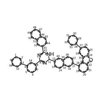 c1ccc(-c2cccc(C3=NC(c4ccc5cc(-c6cccc7oc8ccc(-c9ccccc9)cc8c67)ccc5c4)NC(c4ccc5ccccc5c4)=N3)c2)cc1